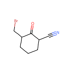 N#CC1CCCC(CBr)C1=O